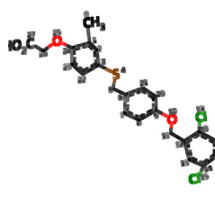 Cc1cc(SCc2ccc(OCc3cc(Cl)ccc3Cl)cc2)ccc1OCC(=O)O